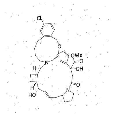 COC(=O)[C@@]1(O)CC(=O)N2CCCC2C/C=C/[C@H](O)[C@@H]2CC[C@H]2CN2CCCCc3cc(Cl)ccc3COc3ccc1cc32